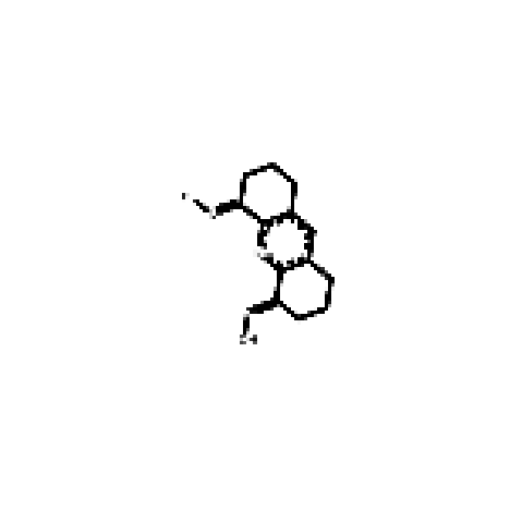 O/N=C1\CCCc2cc3c(nc21)/C(=N/O)CCC3